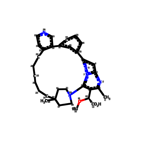 Cc1nc2cc3nn2c(c1[C@H](OC(C)(C)C)C(=O)O)N1CCC(C)(CCCCCCc2ccncc2-c2cccc-3c2)CC1